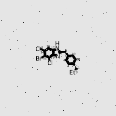 CCSc1ccc(Cc2nc3c(Cl)c(Br)c(Cl)cc3[nH]2)cc1